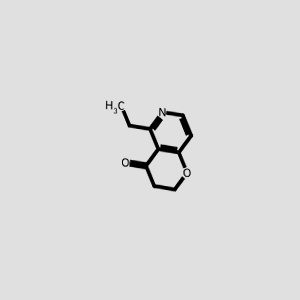 CCc1nccc2c1C(=O)CCO2